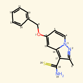 Cc1nn2ccc(OCc3ccccc3)cc2c1C(N)=S